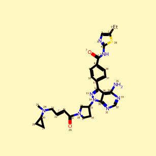 CCc1cnc(NC(=O)c2ccc(-c3nn(C4CCN(C(=O)/C=C/CN(C)C5CC5)C4)c4ncnc(N)c34)cc2)s1